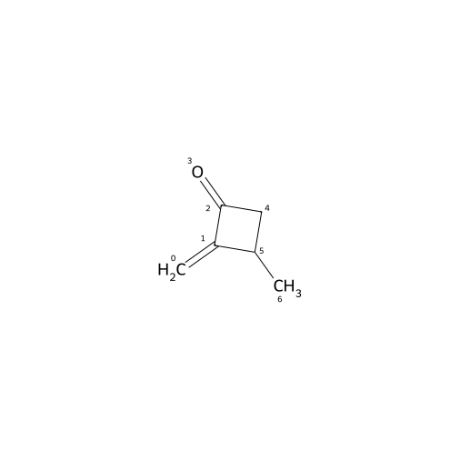 C=C1C(=O)CC1C